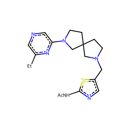 CCc1cncc(N2CCC3(CCN(Cc4cnc(NC(C)=O)s4)C3)C2)n1